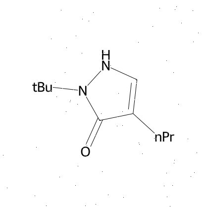 CCCc1c[nH]n(C(C)(C)C)c1=O